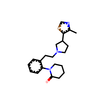 Cc1ncsc1C1CCN(CCc2ccccc2N2CCCCC2=O)C1